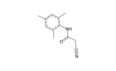 Cc1cc(C)c(NC(=O)CC#N)c(C)c1